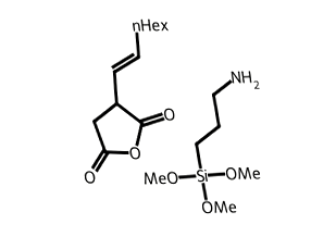 CCCCCCC=CC1CC(=O)OC1=O.CO[Si](CCCN)(OC)OC